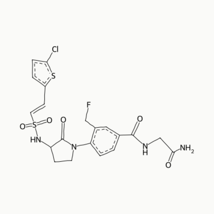 NC(=O)CNC(=O)c1ccc(N2CCC(NS(=O)(=O)C=Cc3ccc(Cl)s3)C2=O)c(CF)c1